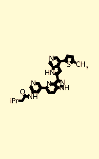 Cc1ccc(-c2cncc3[nH]c(-c4n[nH]c5ccc(-c6cncc(NC(=O)CC(C)C)c6)nc45)cc23)s1